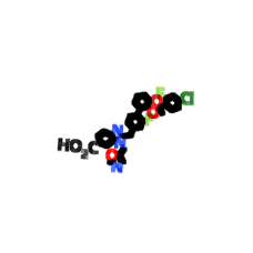 CC1(c2ccc(Cl)cc2F)Oc2cccc(-c3ccc(Cc4nc5ccc(C(=O)O)cc5n4Cc4cnco4)cc3F)c2O1